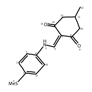 CSc1ccc(NC=C2C(=O)CC(C)CC2=O)cc1